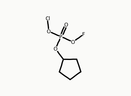 O=P(OF)(OCl)OC1CCCC1